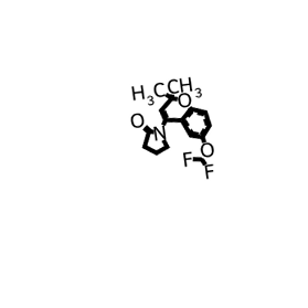 CC1(C)C=C(N2CCCC2=O)c2cc(OC(F)F)ccc2O1